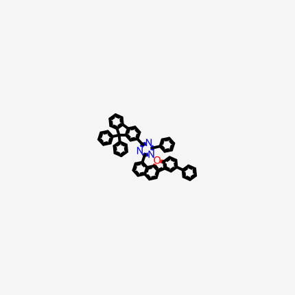 c1ccc(-c2ccc3oc4c(ccc5cccc(-c6nc(-c7ccccc7)nc(-c7ccc8c(c7)C(c7ccccc7)(c7ccccc7)c7ccccc7-8)n6)c54)c3c2)cc1